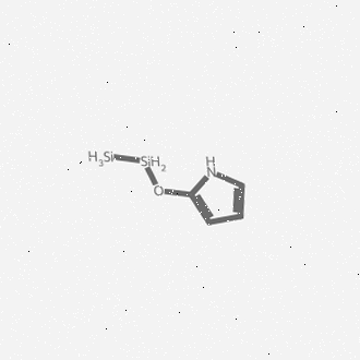 [SiH3][SiH2]Oc1ccc[nH]1